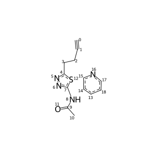 C#CCCc1nnc(NC(C)=O)s1.c1ccncc1